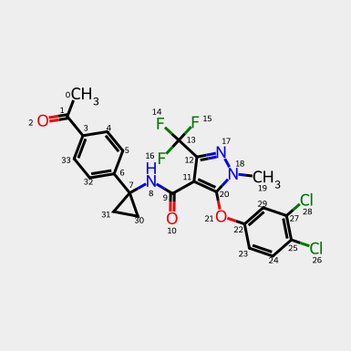 CC(=O)c1ccc(C2(NC(=O)c3c(C(F)(F)F)nn(C)c3Oc3ccc(Cl)c(Cl)c3)CC2)cc1